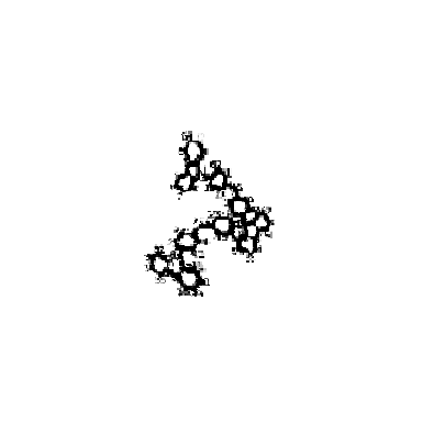 C1=Cc2c(c3ccccc3n2-c2ccc(Cc3ccc(C4(c5ccc(Cc6ccc(-n7c8ccccc8c8ccccc87)cc6)cc5)c5ccccc5-c5ccccc54)cc3)cc2)CC1